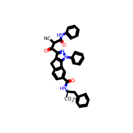 N#CC(C(=O)Nc1ccccc1)C(=O)c1nn(-c2ccccc2)c2c1Cc1ccc(C(=O)N[C@@H](Cc3ccccc3)C(=O)O)cc1-2